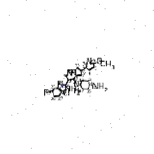 COc1ccc(-c2cc3c(N[C@H]4CC[C@H](N)CC4)c(/C(N)=N/c4cc(F)ccc4Cl)cnn3c2)cn1